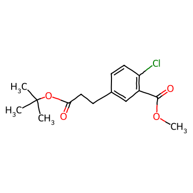 COC(=O)c1cc(CCC(=O)OC(C)(C)C)ccc1Cl